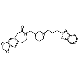 O=C1Cc2cc3c(cc2CCN1CC1CCCN(CCCc2cc4ccccc4s2)C1)OCO3